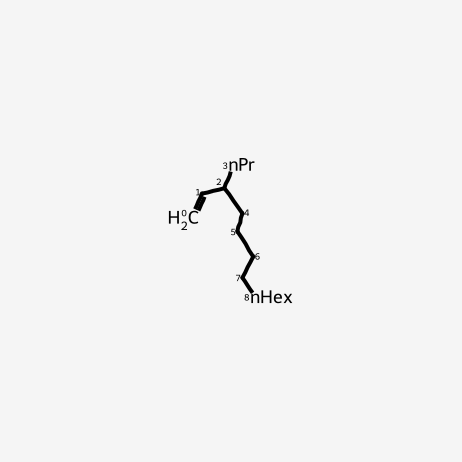 C=CC(CCC)CCCCCCCCCC